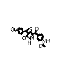 [C-]#[N+]c1ccc(-c2csc3c(C(=O)c4ccc(NC(C)=O)cc4)n[nH]c(=O)c23)cc1